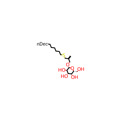 C=C(CO[C@@H]1O[C@H](CO)[C@H](O)[C@H](O)[C@H]1O)CSCCCCCCCCCCCCCCCC